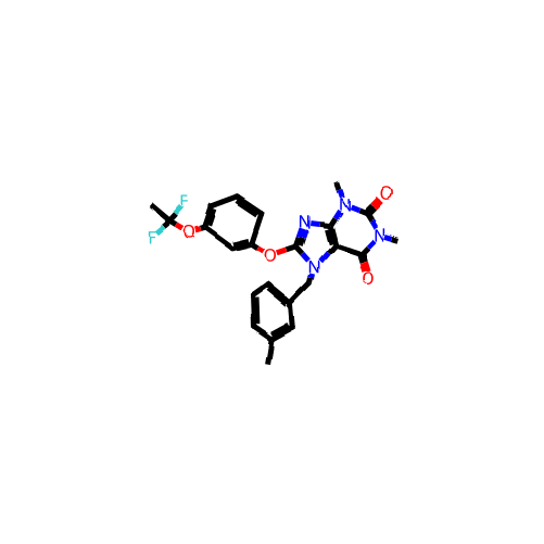 Cc1cccc(Cn2c(Oc3cccc(OC(C)(F)F)c3)nc3c2c(=O)n(C)c(=O)n3C)c1